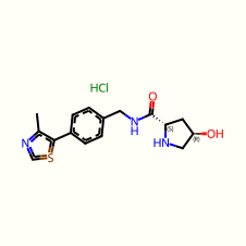 Cc1ncsc1-c1ccc(CNC(=O)[C@@H]2C[C@@H](O)CN2)cc1.Cl